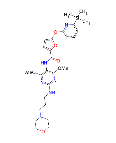 COc1nc(NCCCN2CCOCC2)nc(OC)c1NC(=O)c1ccc(Oc2cccc([Si](C)(C)C)n2)o1